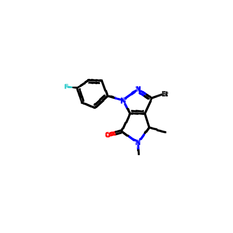 CCc1nn(-c2ccc(F)cc2)c2c1C(C)N(C)C2=O